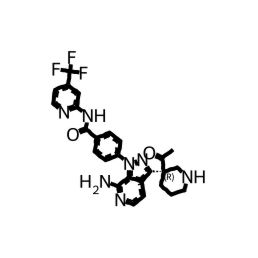 CC(=O)[C@]1(c2nn(-c3ccc(C(=O)Nc4cc(C(F)(F)F)ccn4)cc3)c3c(N)nccc23)CCCNC1